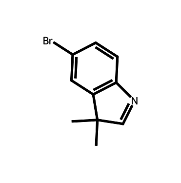 CC1(C)C=Nc2ccc(Br)cc21